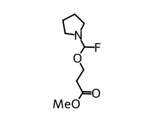 COC(=O)CCOC(F)N1CCCC1